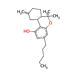 C=C1CCC2C(C1)c1c(O)cc(CCCCC)cc1OC2(C)C